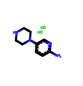 Cl.Cl.Nc1ccc(N2CCNCC2)cn1